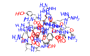 CC(C)C[C@H](NC(=O)[C@H](CO)NC(=O)[C@H](C)N)C(=O)N[C@@H](CCCNC(=N)N)C(=O)N[C@@H](Cc1c[nH]cn1)C(=O)N[C@@H](Cc1ccc(O)cc1)C(=O)N[C@@H](CC(C)C)C(=O)N[C@@H](CC(N)=O)C(=O)N[C@@H](CC(C)C)C(=O)N[C@H](C(=O)N[C@H](C(=O)N[C@@H](CCCNC(=N)N)C(=O)N[C@@H](CCC(N)=O)C(=O)N[C@@H](CCCNC(=N)N)C(=O)N[C@@H](Cc1ccc(O)cc1)C(N)=O)[C@@H](C)O)C(C)C